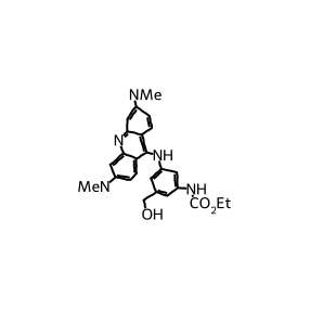 CCOC(=O)Nc1cc(CO)cc(Nc2c3ccc(NC)cc3nc3cc(NC)ccc23)c1